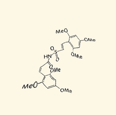 COc1cc(OC)c(/C=C\C(=O)NS(=O)(=O)/C=C/c2c(OC)cc(OC)cc2OC)c(OC)c1